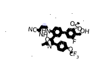 Cc1nc(-c2ccc(OC(F)(F)F)cc2)c(-c2cc(-c3cc(F)c(CO)c(S(C)(=O)=O)c3)ccc2N/C=C\C(=N)C#N)o1